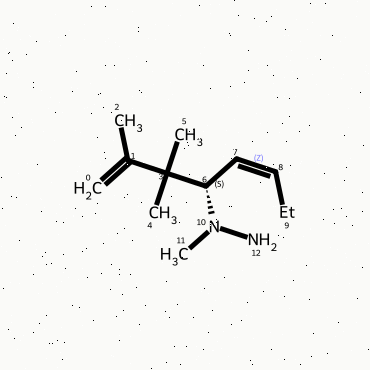 C=C(C)C(C)(C)[C@H](/C=C\CC)N(C)N